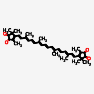 CC1=C(/C=C/C(C)=C/C=C/C(C)=C/C=C/C=C(C)/C=C/C=C(C)/C=C/C2=C(C)C(=O)C(=O)C2(C)C)C(C)(C)C(=O)C1=O